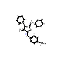 COc1ccc(/C=C2\S/C(=N\c3ccccc3)N(c3ccccc3)C2=O)nc1